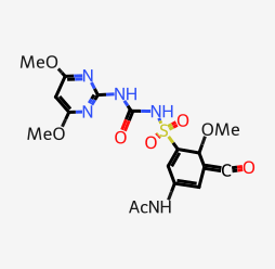 COc1cc(OC)nc(NC(=O)NS(=O)(=O)C2=CC(NC(C)=O)=CC(=C=O)C2OC)n1